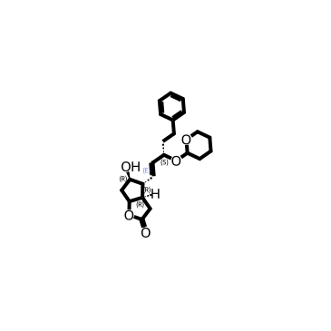 O=C1C[C@H]2C(C[C@@H](O)[C@@H]2/C=C/[C@H](CCc2ccccc2)OC2CCCCO2)O1